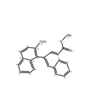 CCCCOC(=O)C=CC(=Cc1ccccc1)c1c(C=O)ccc2ccccc12